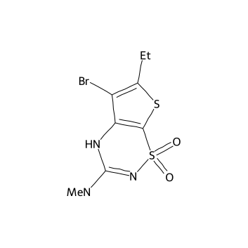 CCc1sc2c(c1Br)NC(NC)=NS2(=O)=O